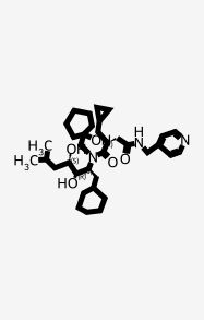 CC(C)C[C@H](O)[C@H](O)[C@H](CC1CCCCC1)N(CC1(O)CCCCC1)C(=O)[C@@H](CC(=O)NCc1ccncc1)CC1CC1